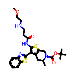 COCCNCCC(=O)Nc1sc2c(c1-c1nc3ccccc3s1)CC(C)N(C(=O)OC(C)(C)C)C2